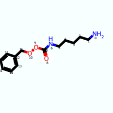 NCCCCCNC(=O)OOCc1ccccc1